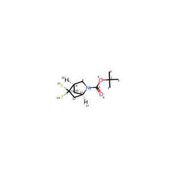 CC(C)(C)OC(=O)N1C[C@H]2C[C@@H]1CC2(F)F